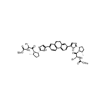 COC(=O)NC(C(=O)N1[C@@H](C)CC[C@H]1c1ncc(-c2ccc3c(c2)CCc2cc(-c4cnc([C@@H]5CC[C@H](C)N5C(=O)[C@@H](NC(=O)OC)C(C)C)[nH]4)ccc2-3)[nH]1)C(C)C